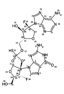 Nc1nc2c(ncn2[C@@]2(OP(=O)(S)OC[C@H]3OC[C@@](F)(n4cnc5c(N)ncnc54)[C@@H]3O)CO[C@H](CO)[C@H]2F)c(=O)[nH]1